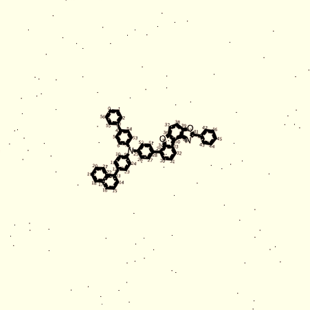 c1ccc(-c2ccc(N(c3ccc(-c4cccc5ccccc45)cc3)c3ccc(-c4cccc5c4oc4ccc6oc(-c7ccccc7)nc6c45)cc3)cc2)cc1